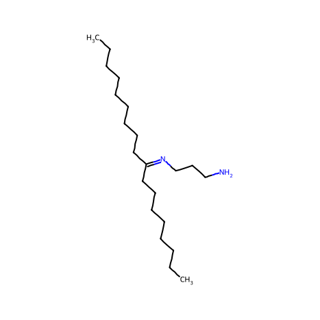 CCCCCCCCCC(CCCCCCCC)=NCCCN